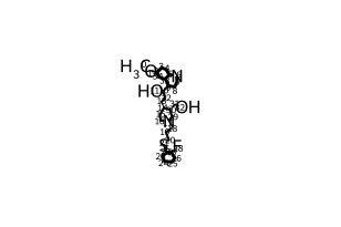 COc1ccc2nccc(C(O)CC[C@@H]3CCN(CCCSc4ccccc4F)C[C@@H]3CO)c2c1